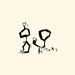 C[C@H](NC(=O)[C@@H]1CNC[C@H]1c1ccc(C(F)(F)F)cc1)c1ccccc1